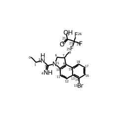 CCNC(=N)N1CC(C)c2c1ccc1c(Br)cccc21.O=C(O)C(F)(F)F